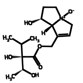 CC(C)[C@@](O)(C(=O)OCC1=CC[N+]2([O-])CC[C@@H](O)[C@@H]12)[C@@H](C)O